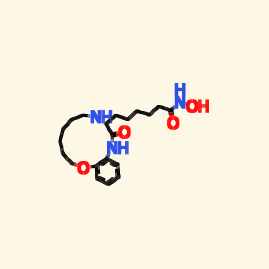 O=C(CCCCCC1NCCCCCCOc2ccccc2NC1=O)NO